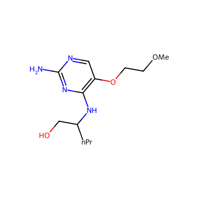 CCCC(CO)Nc1nc(N)ncc1OCCOC